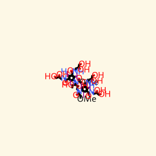 COCC(=O)N(CC(O)C(C(C)O)N(C(=O)COC)c1c(I)c(C(=O)NCC(O)CO)c(I)c(C(=O)NCC(O)CO)c1I)c1c(I)c(C(=O)NCC(O)CO)c(I)c(C(=O)NCC(O)CO)c1I